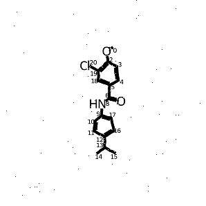 COc1ccc(C(=O)Nc2ccc(C(C)C)cc2)cc1Cl